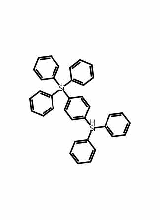 c1ccc([SiH](c2ccccc2)c2ccc([Si](c3ccccc3)(c3ccccc3)c3ccccc3)cc2)cc1